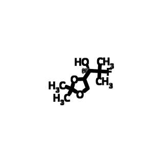 CC1(C)OCC([C@H](O)C(C)(C)F)O1